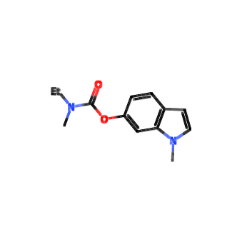 CCN(C)C(=O)Oc1ccc2ccn(C)c2c1